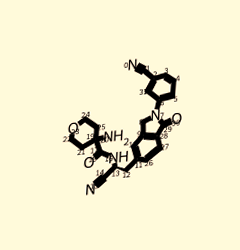 N#Cc1cccc(N2Cc3cc(C[C@@H](C#N)NC(=O)C4(N)CCOCC4)ccc3C2=O)c1